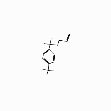 C=CCCC(C)(O)c1ccc(C(F)(F)F)cc1